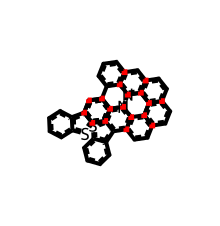 c1ccc(-c2ccccc2N(c2ccc3c(c2)sc2ccccc23)c2ccccc2-c2ccccc2N(c2ccc3c(c2)sc2ccccc23)c2ccccc2-c2ccccc2)cc1